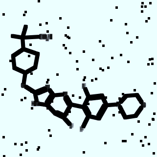 CC(C)(C(=O)O)C1CCC(Oc2nc3nc(-c4c(F)cc(N5CCOCC5)cc4F)c(F)cc3[nH]2)CC1